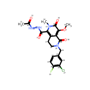 COc1c2c(c(C(=O)NNC(C)=O)n(C)c1=O)CCN(Cc1ccc(F)c(Cl)c1)C2=O